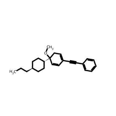 CCC[C@H]1CC[C@H](C2(OC)C=CC(C#Cc3ccccc3)=CC2)CC1